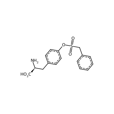 N[C@@H](Cc1ccc(OS(=O)(=O)Cc2ccccc2)cc1)C(=O)O